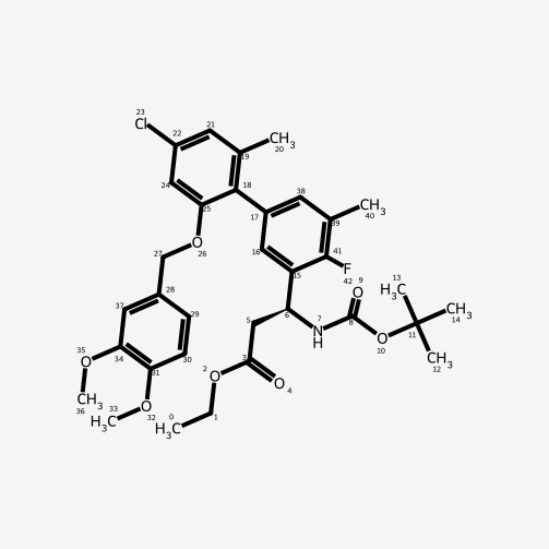 CCOC(=O)C[C@H](NC(=O)OC(C)(C)C)c1cc(-c2c(C)cc(Cl)cc2OCc2ccc(OC)c(OC)c2)cc(C)c1F